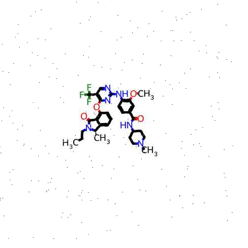 CCCN1C(=O)c2c(Oc3nc(Nc4ccc(C(=O)NC5CCN(C)CC5)cc4OC)ncc3C(F)(F)F)cccc2[C@@H]1C